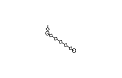 COC1CC(C2CC(C3CC(C4CC(C5CC(OC6CC(C)C6)C5)C4)C3)C2)C1